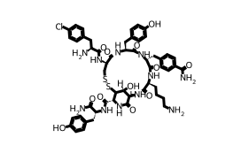 NCCCC[C@@H]1NC(=O)[C@@H](Cc2ccc(C(N)=O)cc2)NC(=O)[C@H](Cc2ccc(O)cc2)NC(=O)[C@H](NC(=O)[C@@H](N)Cc2ccc(Cl)cc2)CSSC2[C@@H](C(=O)N[C@H](Cc3ccc(O)cc3)C(N)=O)NC(=O)[C@@H](NC1=O)[C@@H]2O